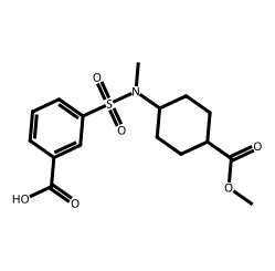 COC(=O)C1CCC(N(C)S(=O)(=O)c2cccc(C(=O)O)c2)CC1